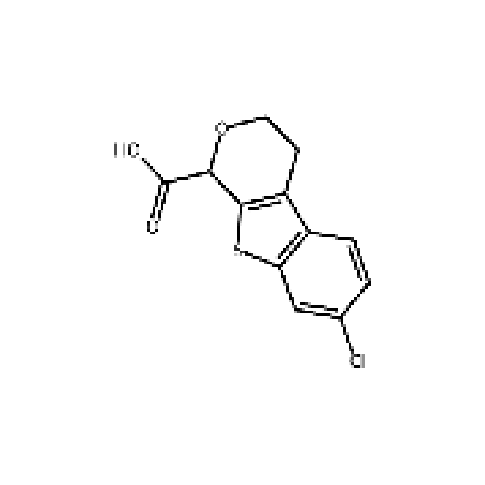 O=C(O)C1OCCc2c1sc1cc(Cl)ccc21